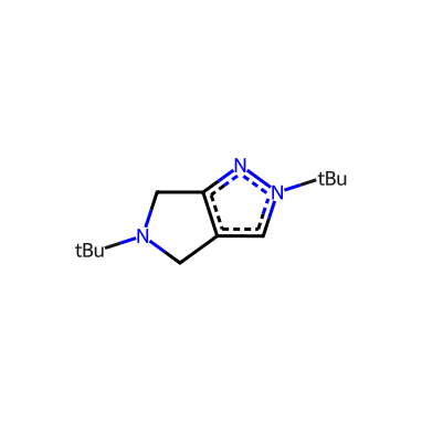 CC(C)(C)N1Cc2cn(C(C)(C)C)nc2C1